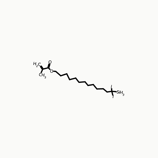 C=C(C)C(=O)OCCCCCCCCCCCCC([SiH3])(I)I